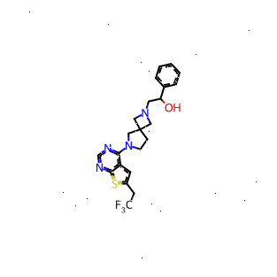 OC(CN1CC2(CCN(c3ncnc4sc(CC(F)(F)F)cc34)C2)C1)c1ccccc1